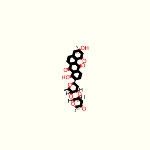 C[C@@H]1O[C@H]2O[C@@H]3[C@@H](C)O[C@@H](c4ccc5c(c4O)C(=O)c4ccc6c(c4C5=O)C(=O)C[C@](C)(O)C6)C[C@H]3O[C@H]2CC1=O